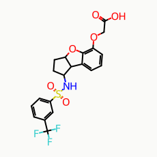 O=C(O)COc1cccc2c1OC1CCC(NS(=O)(=O)c3cccc(C(F)(F)F)c3)C21